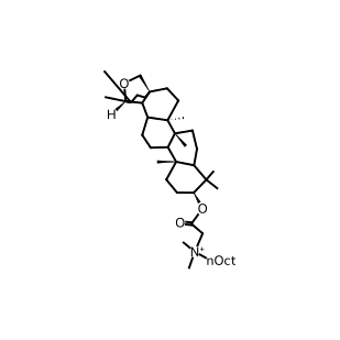 CCCCCCCC[N+](C)(C)CC(=O)O[C@H]1CC[C@@]2(C)C(CC[C@]3(C)C2CCC2C4[C@H]5OC[C@@]4(CCC5(C)C)CC[C@]23C)C1(C)C